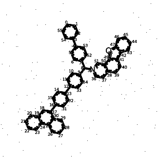 c1ccc(-c2ccc(C(c3ccc(-c4ccc(-c5cc6ccccc6c6ccccc56)cc4)cc3)[n+]3ccc4ccc5c6ccccc6oc5c4c3)cc2)cc1